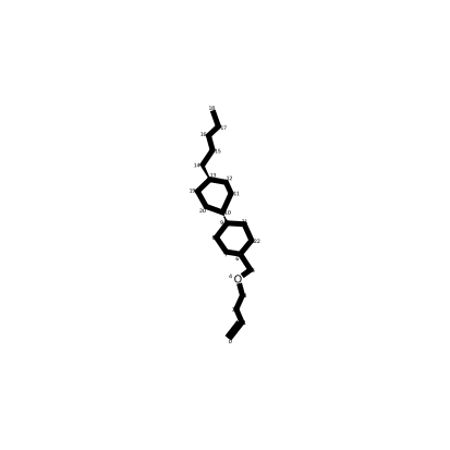 C=CCCOCC1CCC([C@H]2CC[C@H](CCCCC)CC2)CC1